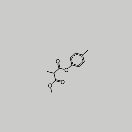 COC(=O)C(C)C(=O)Oc1ccc(C)cc1